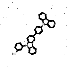 N#Cc1cccc(-n2c3ccccc3c3cc(-c4ccc(-n5c6ccccc6c6ccccc65)cc4)ccc32)c1